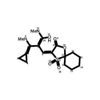 CNC(=C1CC1)C(/C=C1\C(=O)OC2(CCCCC2)S1(=O)=O)=C(/O)NC